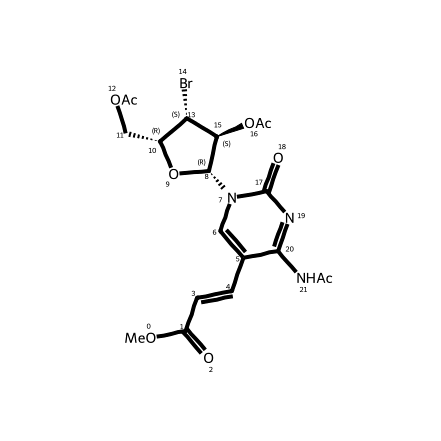 COC(=O)C=Cc1cn([C@@H]2O[C@H](COC(C)=O)[C@H](Br)[C@H]2OC(C)=O)c(=O)nc1NC(C)=O